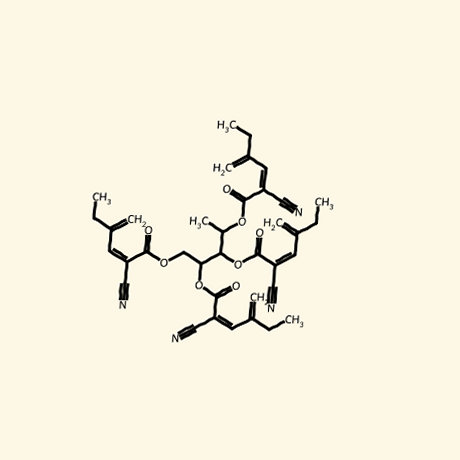 C=C(/C=C(/C#N)C(=O)OCC(OC(=O)/C(C#N)=C\C(=C)CC)C(OC(=O)/C(C#N)=C\C(=C)CC)C(C)OC(=O)/C(C#N)=C\C(=C)CC)CC